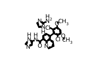 COc1cc(OC)c(Cl)c(-c2ccc(C(=O)Nc3cnc[nH]3)c3ncccc23)c1Cl.Nc1ncc[nH]1